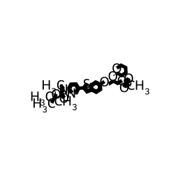 CN(C(=O)OC(C)(C)C)c1ccc(-c2cc3ccc(OCC(COS(C)(=O)=O)O[C@H]4CCCCO4)cc3s2)cn1